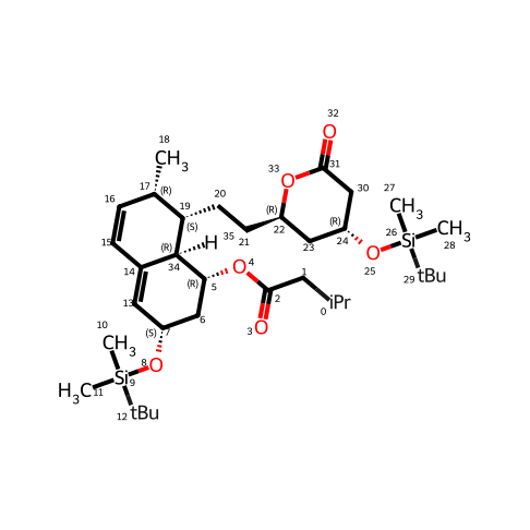 CC(C)CC(=O)O[C@@H]1C[C@H](O[Si](C)(C)C(C)(C)C)C=C2C=C[C@H](C)[C@H](CC[C@@H]3C[C@@H](O[Si](C)(C)C(C)(C)C)CC(=O)O3)[C@H]21